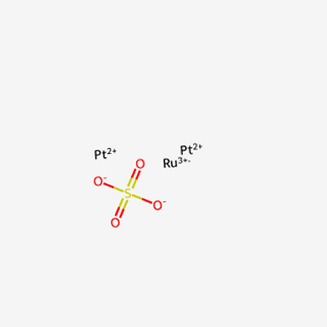 O=S(=O)([O-])[O-].[Pt+2].[Pt+2].[Ru+3]